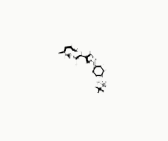 Cc1ccc2nc(-c3cnn(C4CCC(O[Si](C)(C)C(C)(C)C)CC4)c3)c(I)n2n1